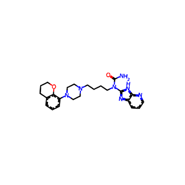 NC(=O)N(CCCCN1CCN(c2cccc3c2OCCC3)CC1)c1nc2cccnc2[nH]1